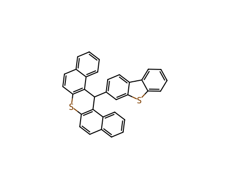 c1ccc2c3c(ccc2c1)Sc1ccc2ccccc2c1C3c1ccc2c(c1)sc1ccccc12